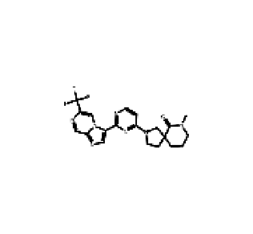 CN1CCCC2(CCN(c3ccnc(-c4cnc5cnc(C(F)(F)F)cn45)n3)C2)C1=O